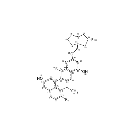 CCc1c(F)ccc2cc(O)cc(-c3ccc4c(O)nc(OC[C@@]56CCCN5C[C@H](F)C6)nc4c3F)c12